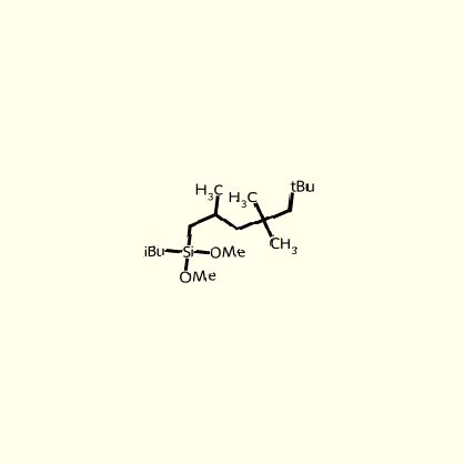 CCC(C)[Si](CC(C)CC(C)(C)CC(C)(C)C)(OC)OC